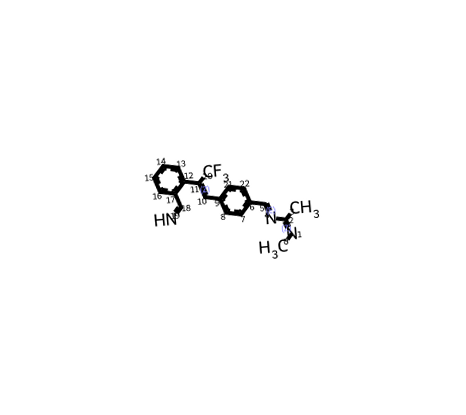 C/N=C(C)\N=C\c1ccc(/C=C(/c2ccccc2C=N)C(F)(F)F)cc1